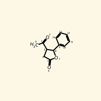 CC(=O)C1CC(=O)OC1c1ccccc1